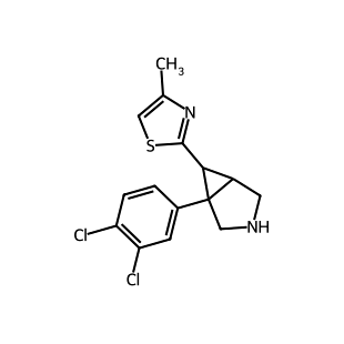 Cc1csc(C2C3CNCC32c2ccc(Cl)c(Cl)c2)n1